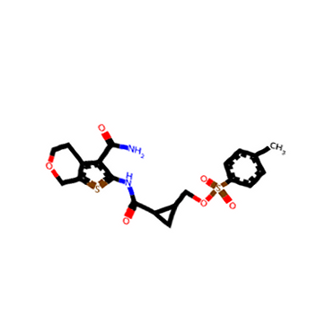 Cc1ccc(S(=O)(=O)OCC2CC2C(=O)Nc2sc3c(c2C(N)=O)CCOC3)cc1